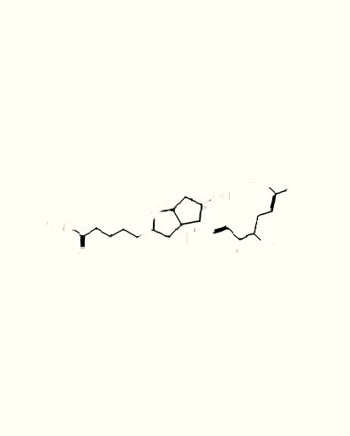 CC(=O)NC(=O)CCCC[C@@H]1C[C@@H]2[C@@H](/C=C/[C@@H](O)C(C)CC=C(C)C)[C@H](O)C[C@@H]2O1